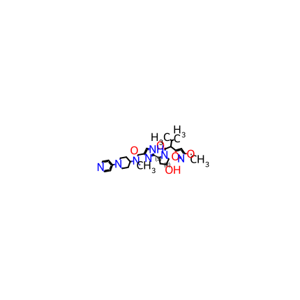 COc1cc(C(C(=O)N2C[C@H](O)C[C@H]2c2nc(C(=O)N(C)C3CCN(c4ccncc4)CC3)c[nH]2)C(C)C)on1